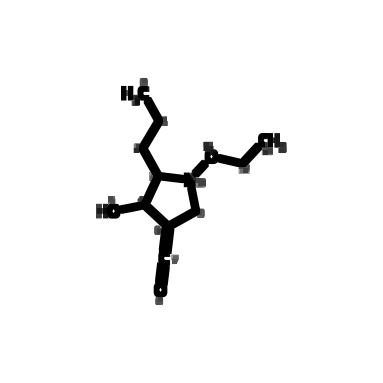 CCCC1C(O)C(=C=O)CN1OCC